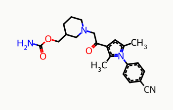 Cc1cc(C(=O)CN2CCCC(COC(N)=O)C2)c(C)n1-c1ccc(C#N)cc1